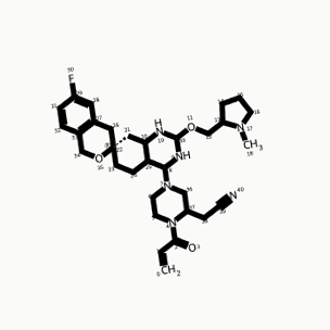 C=CC(=O)N1CCN(C2NC(OCC3CCCN3C)NC3C[C@@]4(CCC32)Cc2cc(F)ccc2CO4)CC1CC#N